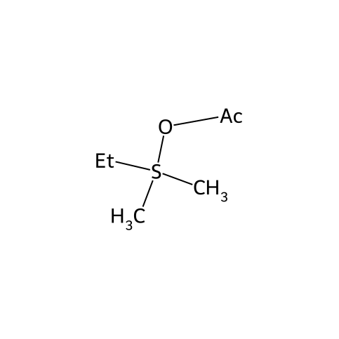 CCS(C)(C)OC(C)=O